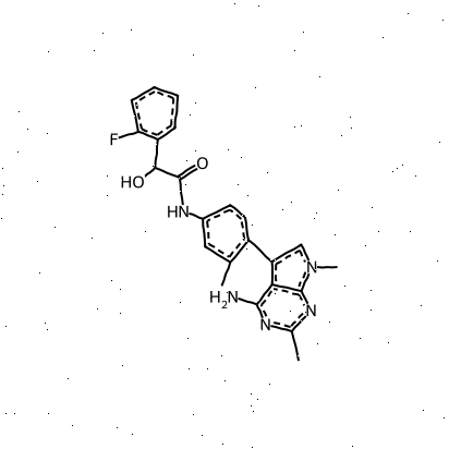 Cc1nc(N)c2c(-c3ccc(NC(=O)C(O)c4ccccc4F)cc3C)cn(C)c2n1